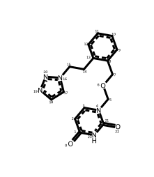 O=c1ccn(COCc2ccccc2CCn2ccnn2)c(=O)[nH]1